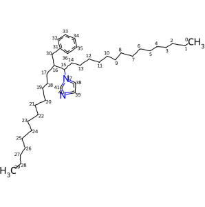 CCCCCCCCCCCCCCCC(C(CCCCCCCCCCCCC)Cc1ccccc1)n1ccnc1